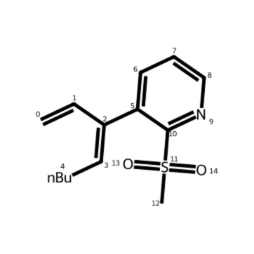 C=CC(=CCCCC)c1cccnc1S(C)(=O)=O